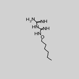 CCCCCCONC(=N)NC(=N)N